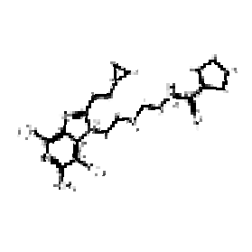 Cc1nc(N)c2nc(CCC3CC3)n(CCOCCNC(=O)C3CCCC3)c2c1C